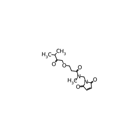 CC(C)C(=O)COCCC(=O)N(C)CN1C(=O)C=CC1=O